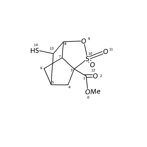 COC(=O)C12CC3CC1C(OS2(=O)=O)C3S